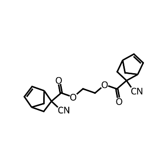 N#CC1(C(=O)OCCOC(=O)C2(C#N)CC3C=CC2C3)CC2C=CC1C2